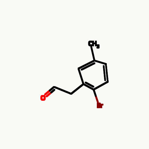 Cc1ccc(Br)c(CC=O)c1